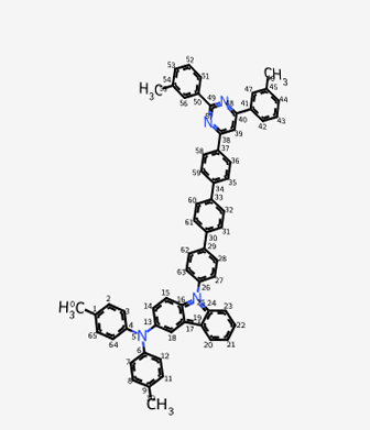 Cc1ccc(N(c2ccc(C)cc2)c2ccc3c(c2)c2ccccc2n3-c2ccc(-c3ccc(-c4ccc(-c5cc(-c6cccc(C)c6)nc(-c6cccc(C)c6)n5)cc4)cc3)cc2)cc1